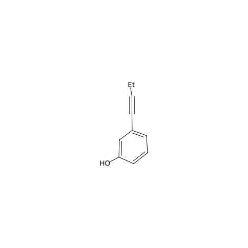 CCC#Cc1cccc(O)c1